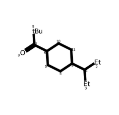 CCC(CC)C1CCC(C(=O)C(C)(C)C)CC1